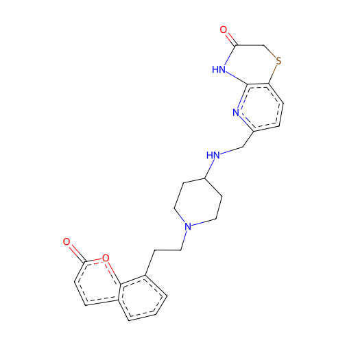 O=C1CSc2ccc(CNC3CCN(CCc4cccc5ccc(=O)oc45)CC3)nc2N1